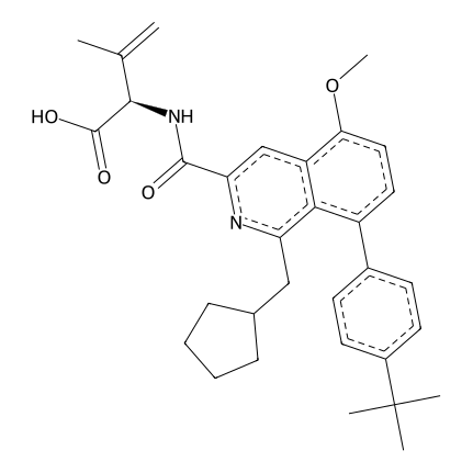 C=C(C)[C@@H](NC(=O)c1cc2c(OC)ccc(-c3ccc(C(C)(C)C)cc3)c2c(CC2CCCC2)n1)C(=O)O